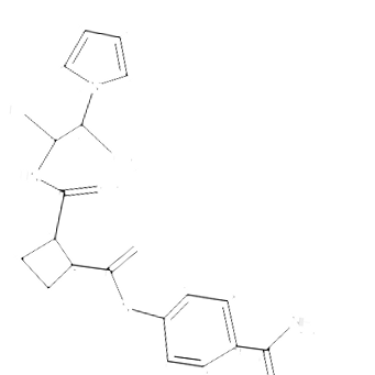 CCC(NC(=O)C1CCC1C(=O)Nc1ccc(C(=N)N)cc1)C(C(=O)O)n1cccc1